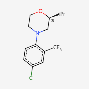 CC(C)[C@H]1CN(c2ccc(Cl)cc2C(F)(F)F)CCO1